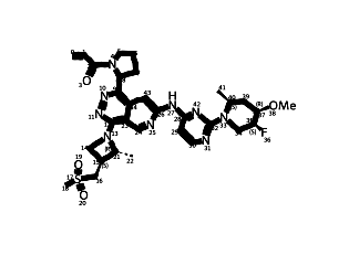 C=CC(=O)N1CCCC1c1nnc(N2C[C@H](CS(C)(=O)=O)[C@H]2C)c2cnc(Nc3ccnc(N4C[C@H](F)[C@H](OC)C[C@@H]4C)n3)cc12